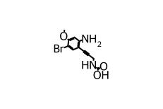 COc1cc(N)c(C#CCNC(=O)O)cc1Br